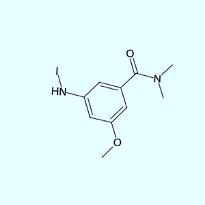 COc1cc(NI)cc(C(=O)N(C)C)c1